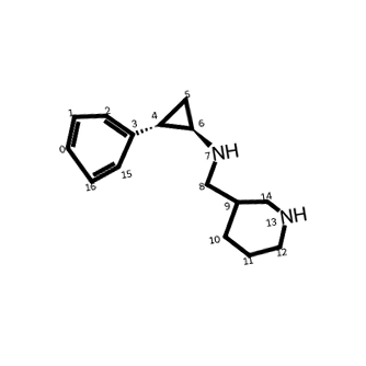 c1ccc([C@@H]2C[C@H]2NCC2CCCNC2)cc1